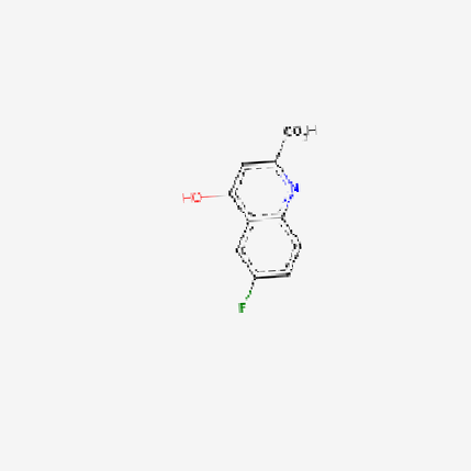 O=C(O)c1cc(O)c2cc(F)ccc2n1